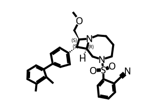 COC[C@@H]1[C@@H](c2ccc(-c3cccc(C)c3C)cc2)[C@@H]2CN(S(=O)(=O)c3ccccc3C#N)CCCCN12